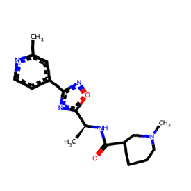 Cc1cc(-c2noc([C@H](C)NC(=O)C3CCCN(C)C3)n2)ccn1